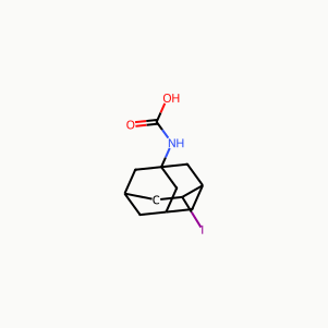 O=C(O)NC12CC3CC(CC(C1)C(I)C3)C2